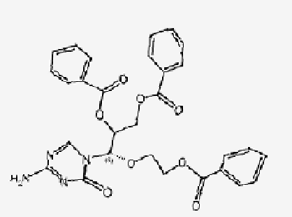 Nc1ncn([C@@H](OCCOC(=O)c2ccccc2)C(COC(=O)c2ccccc2)OC(=O)c2ccccc2)c(=O)n1